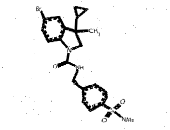 CNS(=O)(=O)c1ccc(CNC(=O)N2CC(C)(C3CC3)c3cc(Br)ccc32)cc1